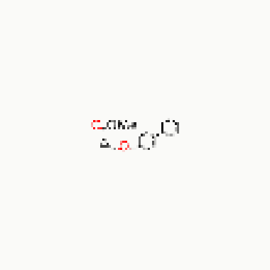 COC(=O)C1CC1COCc1ccc(-c2ccccc2)cc1